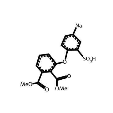 COC(=O)c1cccc(Oc2cc[c]([Na])cc2S(=O)(=O)O)c1C(=O)OC